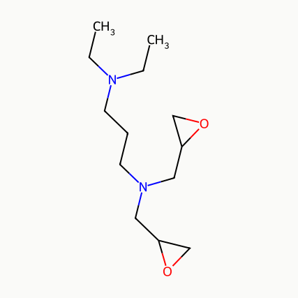 CCN(CC)CCCN(CC1CO1)CC1CO1